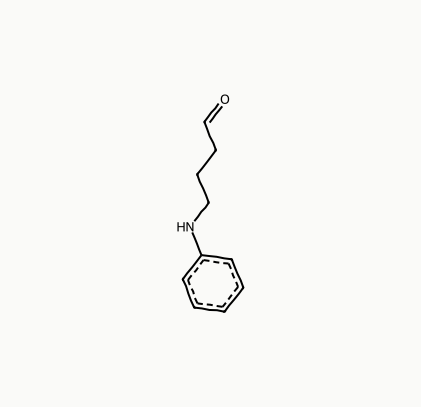 O=CCCCNc1ccccc1